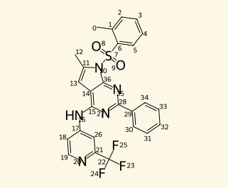 Cc1ccccc1S(=O)(=O)n1c(C)cc2c(Nc3ccnc(C(F)(F)F)c3)nc(-c3ccccc3)nc21